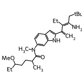 C=C(/C(CC)=C(\N)CC(C)(C)C)c1cc2ccc(N(C)C(=O)C(C)CCC(CC)OC)cc2[nH]1